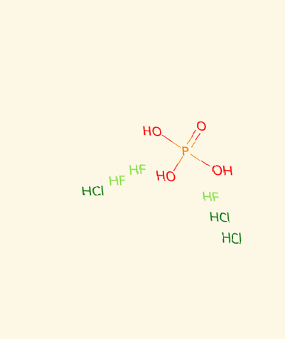 Cl.Cl.Cl.F.F.F.O=P(O)(O)O